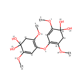 CCOC1=CC(OC2=C(OCC)CC(O)(O)C(OCC)=C2)=C(OCC)CC1(O)O